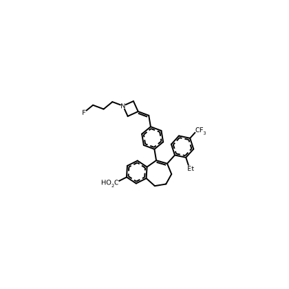 CCc1cc(C(F)(F)F)ccc1C1=C(c2ccc(C=C3CN(CCCF)C3)cc2)c2ccc(C(=O)O)cc2CCC1